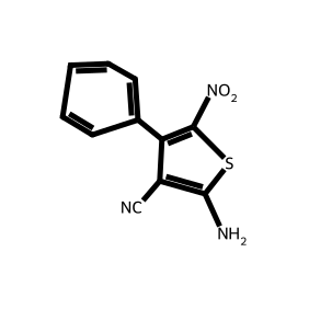 N#Cc1c(N)sc([N+](=O)[O-])c1-c1ccccc1